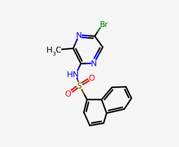 Cc1nc(Br)cnc1NS(=O)(=O)c1cccc2ccccc12